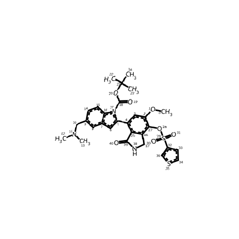 COc1cc(-c2cc3cc(CN(C)C)ccc3n2C(=O)OC(C)(C)C)c2c(c1OS(=O)(=O)c1ccsc1)CNC2=O